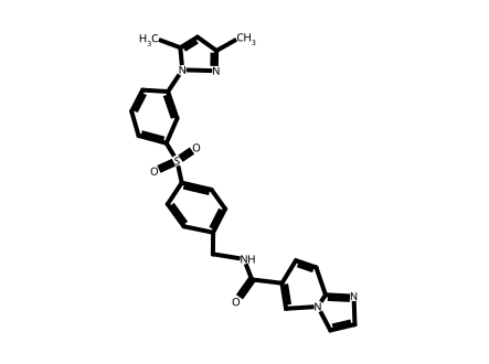 Cc1cc(C)n(-c2cccc(S(=O)(=O)c3ccc(CNC(=O)c4ccc5nccn5c4)cc3)c2)n1